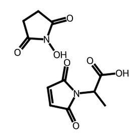 CC(C(=O)O)N1C(=O)C=CC1=O.O=C1CCC(=O)N1O